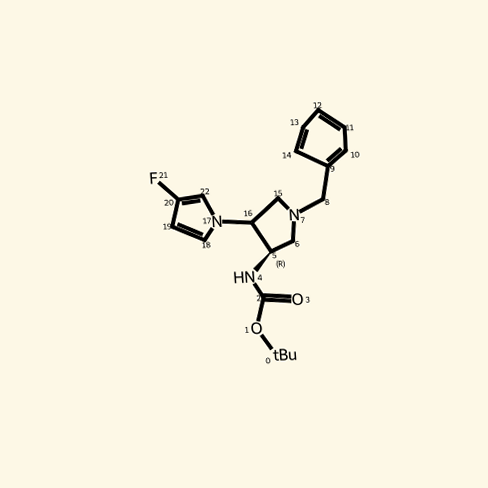 CC(C)(C)OC(=O)N[C@@H]1CN(Cc2ccccc2)CC1n1ccc(F)c1